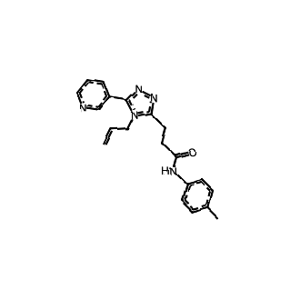 C=CCn1c(CCC(=O)Nc2ccc(C)cc2)nnc1-c1cccnc1